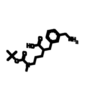 CN(CCCC(Cc1cccc(CN)c1)C(=O)O)C(=O)OC(C)(C)C